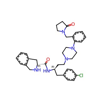 O=C(N[C@@H](CCN1CCN(c2ccccc2CN2CCCC2=O)CC1)Cc1ccc(Cl)cc1)[C@H]1Cc2ccccc2CN1